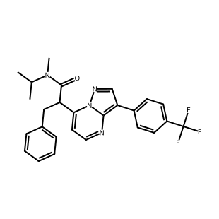 CC(C)N(C)C(=O)C(Cc1ccccc1)c1ccnc2c(-c3ccc(C(F)(F)F)cc3)cnn12